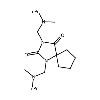 CCCN(C)CN1C(=O)N(CN(C)CCC)C2(CCCC2)C1=O